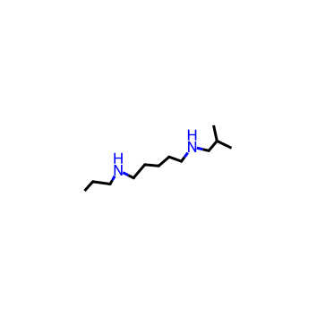 CCCNCCCCCNCC(C)C